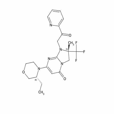 CC[C@@H]1COCCN1c1cc(=O)n2c(n1)N(CC(=O)c1ccccn1)[C@](C)(C(F)(F)F)C2